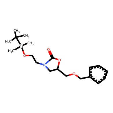 CC(C)(C)[Si](C)(C)OCCN1CC(COCc2ccccc2)OC1=O